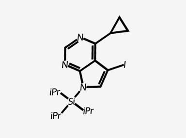 CC(C)[Si](C(C)C)(C(C)C)n1cc(I)c2c(C3CC3)ncnc21